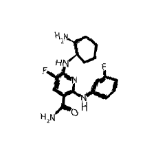 NC(=O)c1cc(F)c(N[C@@H]2CCCC[C@@H]2N)nc1Nc1cccc(F)c1